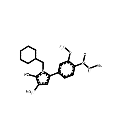 CC(C)(C)N[S+]([O-])c1ccc(-c2cc(C(=O)O)c(C#N)n2CC2CCCCC2)cc1OC(F)(F)F